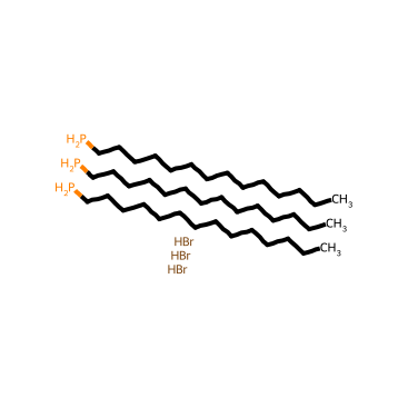 Br.Br.Br.CCCCCCCCCCCCCCP.CCCCCCCCCCCCCCP.CCCCCCCCCCCCCCP